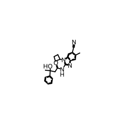 Cc1cc2nc(NC(=O)CC(C)(O)c3ccccc3)n(C3CCC3)c2cc1C#N